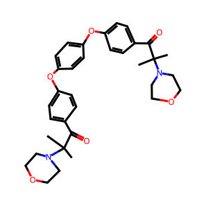 CC(C)(C(=O)c1ccc(Oc2ccc(Oc3ccc(C(=O)C(C)(C)N4CCOCC4)cc3)cc2)cc1)N1CCOCC1